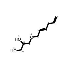 C=CCC=CCOCC(O)CO